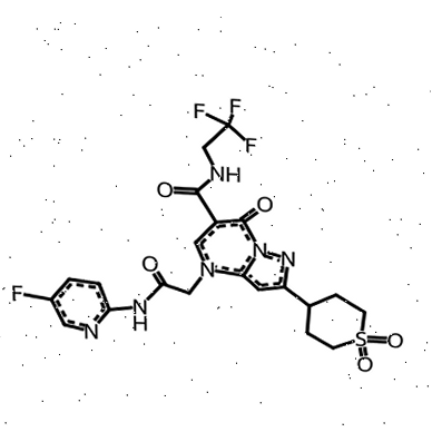 O=C(Cn1cc(C(=O)NCC(F)(F)F)c(=O)n2nc(C3CCS(=O)(=O)CC3)cc12)Nc1ccc(F)cn1